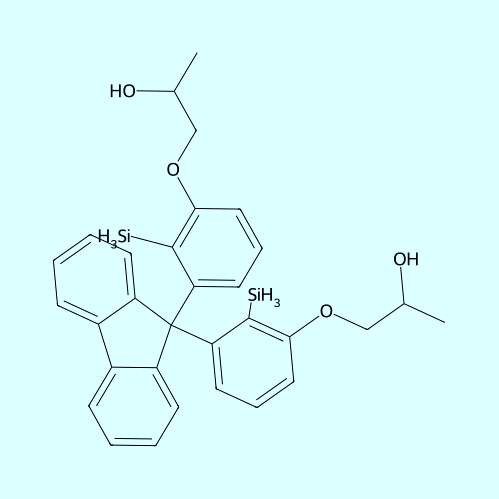 CC(O)COc1cccc(C2(c3cccc(OCC(C)O)c3[SiH3])c3ccccc3-c3ccccc32)c1[SiH3]